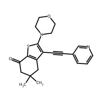 CC1(C)CC(=O)c2sc(N3CCOCC3)c(C#Cc3cccnc3)c2C1